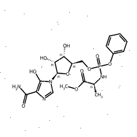 COC(=O)[C@H](C)NP(=O)(OC[C@H]1O[C@@H](n2cnc(C(N)=O)c2O)[C@H](O)[C@@H]1O)Oc1ccccc1